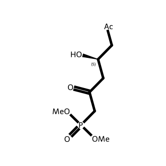 COP(=O)(CC(=O)C[C@@H](O)CC(C)=O)OC